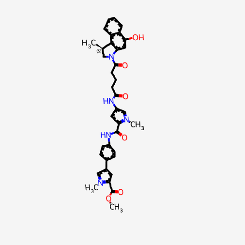 COC(=O)c1cc(-c2ccc(NC(=O)c3cc(NC(=O)CCCC(=O)N4C[C@@H](C)c5c4cc(O)c4ccccc54)cn3C)cc2)cn1C